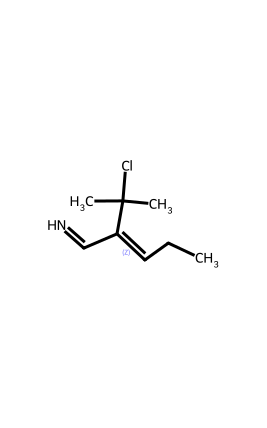 CC/C=C(/C=N)C(C)(C)Cl